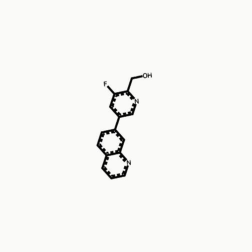 OCc1ncc(-c2ccc3cccnc3c2)cc1F